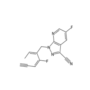 C#C/C=C(F)\C(=C/C)Cn1nc(C#N)c2cc(F)cnc21